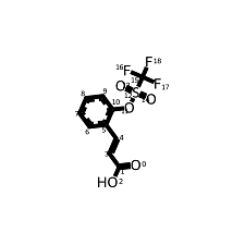 O=C(O)/C=C/c1ccccc1OS(=O)(=O)C(F)(F)F